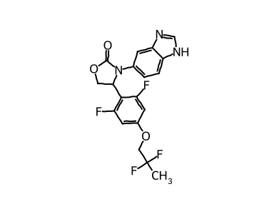 CC(F)(F)COc1cc(F)c(C2COC(=O)N2c2ccc3[nH]cnc3c2)c(F)c1